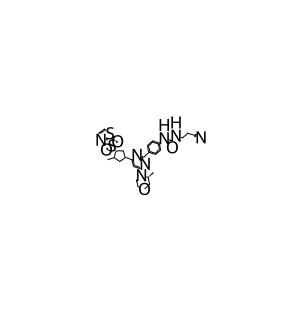 CC1CC(c2cc(N3CCOC[C@@H]3C)nc(-c3ccc(NC(=O)NCCC#N)cc3)n2)CC1S(=O)(=O)c1nccs1